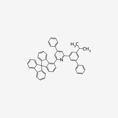 CC(C)c1cc(-c2ccccc2)cc(-c2cc(-c3ccccc3)cc(-c3cccc4c3-c3ccccc3C43c4ccccc4-c4ccccc43)n2)c1